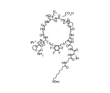 CCCCCCCCCCCCCCCCCC(=O)NCCC(=O)N[C@@H](CC(C)C)C(=O)NCC(=O)N[C@H]1CSCc2c(F)c(F)c(F)c(F)c2CSCC(C(=O)N[C@@H](CC(C)C)C(=O)N2CCC[C@H]2C(N)=O)NC(=O)CNC(=O)CNC(=O)[C@H]([C@@H](C)O)NC(=O)[C@H](CCC(=O)O)NC(=O)[C@@H]2CCCN2C(=O)CNC1=O